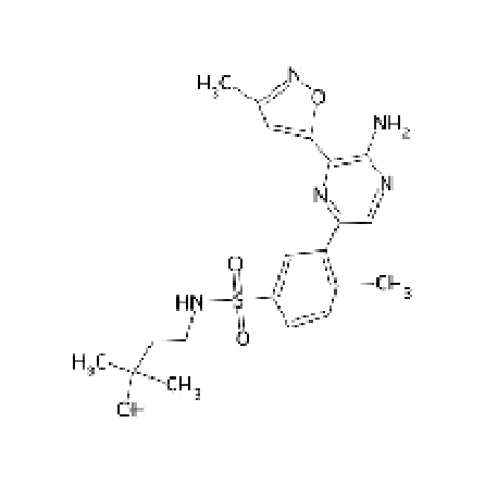 Cc1cc(-c2nc(-c3cc(S(=O)(=O)NCCC(C)(C)O)ccc3C)cnc2N)on1